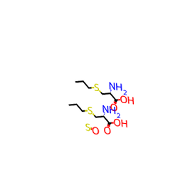 CCCSC[C@H](N)C(=O)O.CCCSC[C@H](N)C(=O)O.O=S